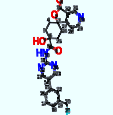 O=C1OC2(CCC(O)(C(=O)Nc3ncc(-c4cccc(CF)c4)cn3)CC2)c2ccncc21